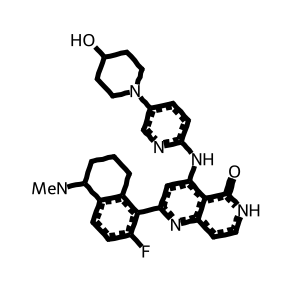 CNC1CCCc2c1ccc(F)c2-c1cc(Nc2ccc(N3CCC(O)CC3)cn2)c2c(=O)[nH]ccc2n1